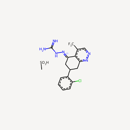 CS(=O)(=O)O.N=C(N)N/N=C1\CC(c2ccccc2Cl)Cc2nncc(C(F)(F)F)c21